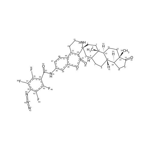 C[C@]12CC[C@]3(C[C@@H]1CC[C@@H]1[C@@H]2CC[C@]2(C)C(=O)CC[C@@H]12)NCCc1c3c(=O)oc2cc(NC(=O)c3c(F)c(F)c(N=[N+]=[N-])c(F)c3F)ccc12